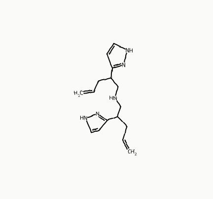 C=CCC(CNCC(CC=C)c1cc[nH]n1)c1cc[nH]n1